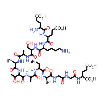 CC(C)CC(NC(=O)C(C)NC(=O)C(NC(=O)C(NC(=O)C(C)NC(=O)C(CO)NC(=O)C(CCCCN)NC(=O)C(CCC(=O)O)NC(=O)C(N)CCC(=O)O)C(C)C)C(C)O)C(=O)NC(C(=O)NCC(=O)NCC(=O)NC(CCC(=O)O)C(=O)O)C(C)C